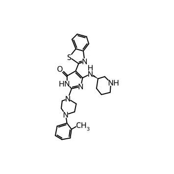 Cc1ccccc1N1CCN(c2nc(N[C@@H]3CCCNC3)c(-c3nc4ccccc4s3)c(=O)[nH]2)CC1